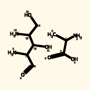 CC(N)C(=O)O.NC(C=O)C(O)C(N)CO